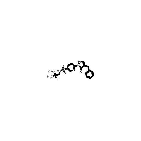 CCC(C)(CNS(=O)(=O)c1ccc(-n2[nH]cc(Cc3ccccc3)c2=O)nc1)OC